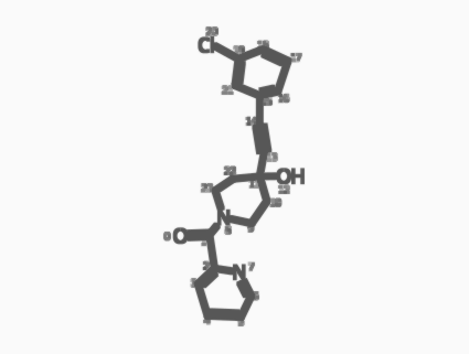 O=C(c1ccccn1)N1CCC(O)(C#Cc2cccc(Cl)c2)CC1